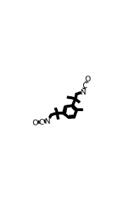 Cc1ccc(C(C)(C)CN=C=O)cc1C(C)(C)CN=C=O